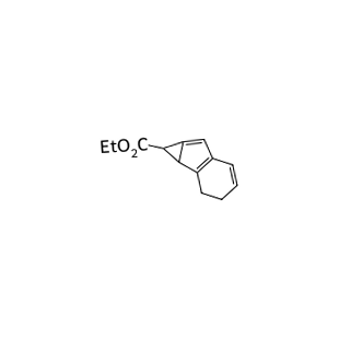 CCOC(=O)C1C2=CC3=C(CCC=C3)C21